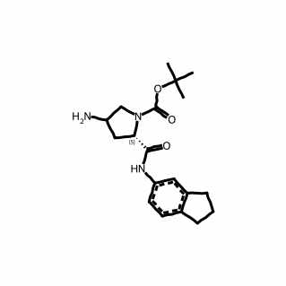 CC(C)(C)OC(=O)N1CC(N)C[C@H]1C(=O)Nc1ccc2c(c1)CCC2